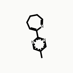 Cc1cnc(C2=CCCCC=N2)nc1